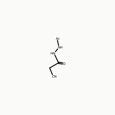 CC(=O)NNC(=O)CC#N